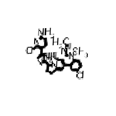 C=N/N=C\N(C)c1ccc(Cl)cc1C1=CC(=C)N2C(=C1)CCC2c1ncc(-c2ccc(N)nc2Cl)[nH]1